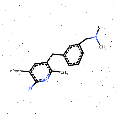 CCCCCc1cc(Cc2cccc(CN(C)C)c2)c(C)nc1N